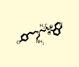 CN(CCN(CC=Cc1ccc(Cl)cc1)CCN)S(=O)(=O)c1cccc2cnccc12